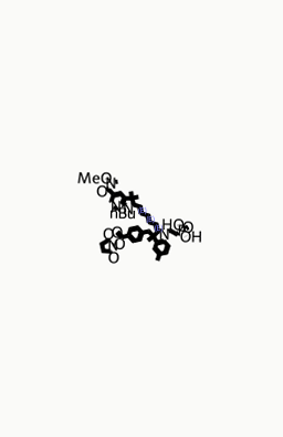 CCCC[n+]1cc(C(=O)N(C)OC)cc2c1N=C(/C=C/C=C/C=C1/N(CCP(=O)(O)O)c3ccc(C)cc3C1(C)Cc1ccc(C(=O)ON3C(=O)CCC3=O)cc1)C2(C)C